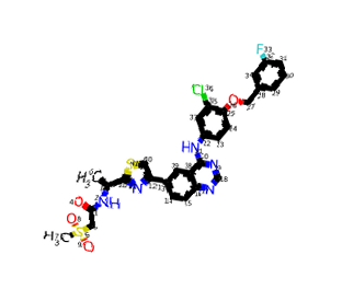 CC(NC(=O)CS(C)(=O)=O)c1nc(-c2ccc3ncnc(Nc4ccc(OCc5cccc(F)c5)c(Cl)c4)c3c2)cs1